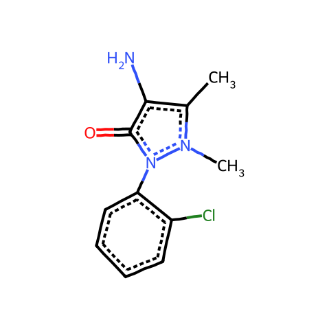 Cc1c(N)c(=O)n(-c2ccccc2Cl)n1C